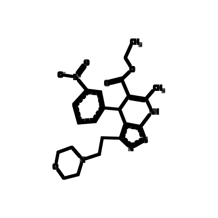 CCOC(=O)C1=C(C)Nc2snc(CCN3CCOCC3)c2C1c1cccc([N+](=O)[O-])c1